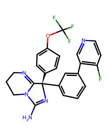 NC1=N[C@@](c2ccc(OC(F)(F)F)cc2)(c2cccc(-c3cnccc3F)c2)C2=NCCCN12